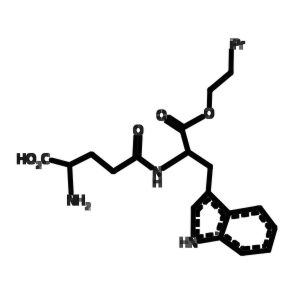 CC(C)CCOC(=O)C(Cc1c[nH]c2ccccc12)NC(=O)CCC(N)C(=O)O